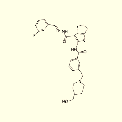 O=C(Nc1sc2c(c1C(=O)N/N=C/c1cccc(F)c1)CCC2)c1cccc(CN2CCC(CO)CC2)c1